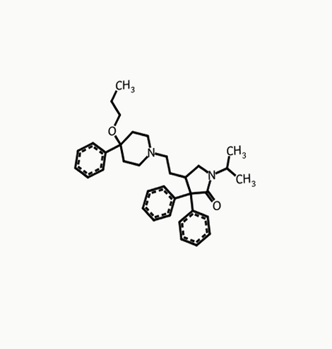 CCCOC1(c2ccccc2)CCN(CCC2CN(C(C)C)C(=O)C2(c2ccccc2)c2ccccc2)CC1